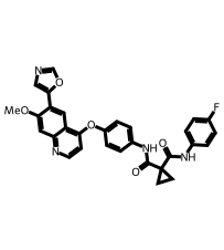 COc1cc2nccc(Oc3ccc(NC(=O)C4(C(=O)Nc5ccc(F)cc5)CC4)cc3)c2cc1-c1cnco1